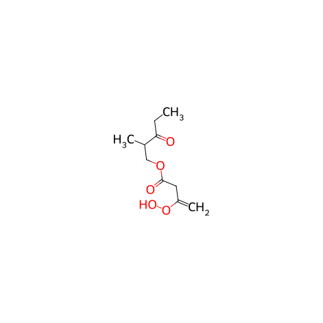 C=C(CC(=O)OCC(C)C(=O)CC)OO